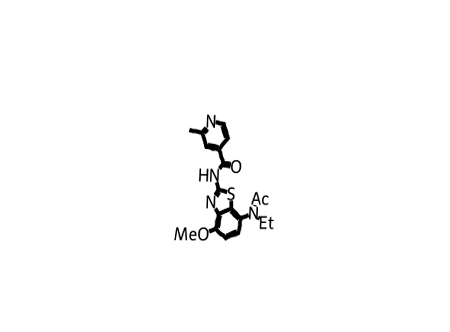 CCN(C(C)=O)c1ccc(OC)c2nc(NC(=O)c3ccnc(C)c3)sc12